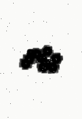 c1ccc(-c2nc(-c3cccc4c3sc3c(-c5ccccc5)cccc34)cc3c2ccc2oc4cc5ccccc5cc4c23)cc1